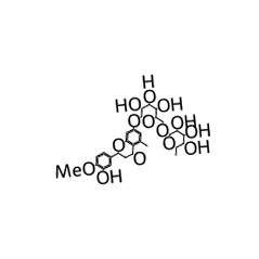 COc1ccc(C2CC(=O)c3c(C)cc(O[C@@H]4OC(CO[C@@H]5OC(C)[C@H](O)[C@H](O)C5O)[C@@H](O)[C@@H](O)C4O)cc3O2)cc1O